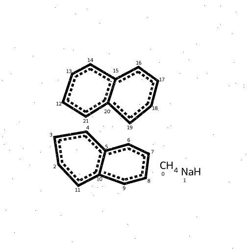 C.[NaH].c1ccc2ccccc2c1.c1ccc2ccccc2c1